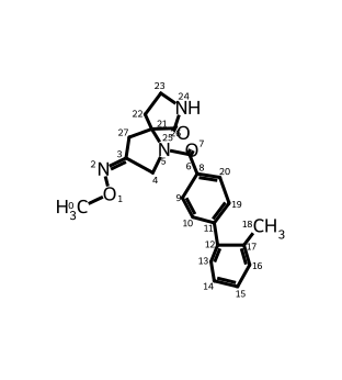 CO/N=C1\CN(C(=O)c2ccc(-c3ccccc3C)cc2)C2(CCNC2=O)C1